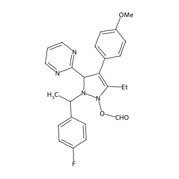 CCC1=C(c2ccc(OC)cc2)C(c2ncccn2)N(C(C)c2ccc(F)cc2)N1OC=O